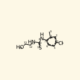 Cc1cc(Cl)ccc1NC(=S)NCCO